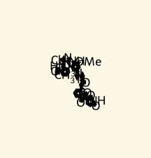 COc1cc(N2CCN(C(=O)CSc3cccc4c3C(=O)N(C3CCC(=O)NC3=O)C4=O)CC2)ccc1Nc1ncc(Cl)c(Nc2ccccc2P(C)(C)=O)n1